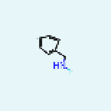 FNCc1cc[c]cc1